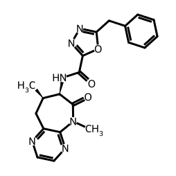 C[C@@H]1Cc2nccnc2N(C)C(=O)[C@@H]1NC(=O)c1nnc(Cc2ccccc2)o1